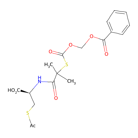 CC(=O)SC[C@H](NC(=O)C(C)(C)SC(=O)OCOC(=O)c1ccccc1)C(=O)O